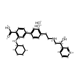 Cl.Cl.O=C(O)c1ccc(-c2ccc(CCNC[C@@H](O)c3cccnc3)cc2)cc1OC1CCCCC1